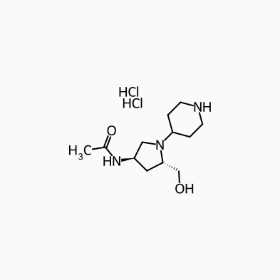 CC(=O)N[C@@H]1C[C@@H](CO)N(C2CCNCC2)C1.Cl.Cl